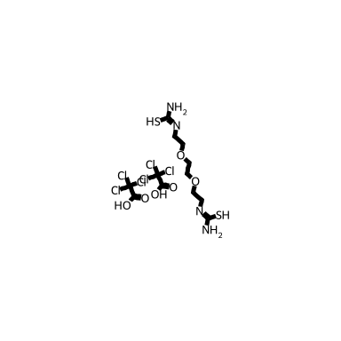 NC(S)=NCCOCCOCCN=C(N)S.O=C(O)C(Cl)(Cl)Cl.O=C(O)C(Cl)(Cl)Cl